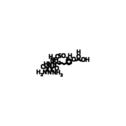 CS(=O)(=O)O.N=C(N)N(CCCCc1ccc(OCC(O)CO)cc1)C(=O)c1nc(Cl)c(N)nc1N